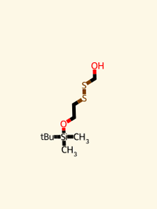 CC(C)(C)[Si](C)(C)OCCSSCO